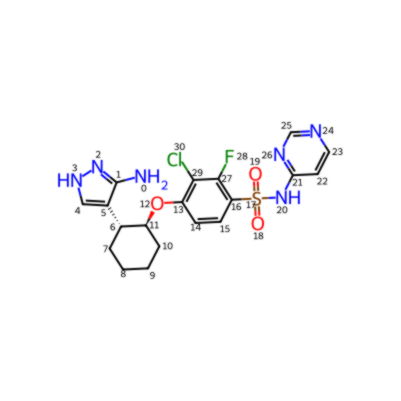 Nc1n[nH]cc1[C@H]1CCCC[C@@H]1Oc1ccc(S(=O)(=O)Nc2ccncn2)c(F)c1Cl